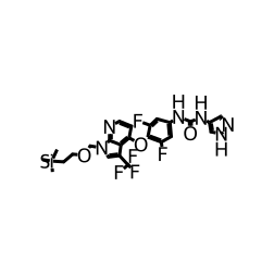 C[Si](C)(C)CCOCn1cc(C(F)(F)F)c2c(Oc3c(F)cc(NC(=O)Nc4cn[nH]c4)cc3F)ccnc21